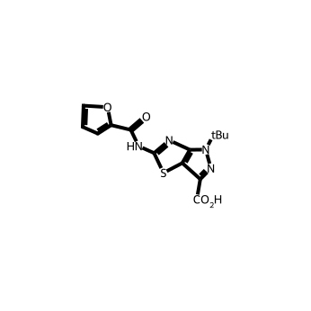 CC(C)(C)n1nc(C(=O)O)c2sc(NC(=O)c3ccco3)nc21